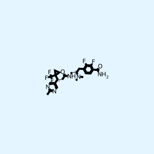 Cc1ncc([C@@H](CC(=O)NC[C@H](Cc2ccc(C(N)=O)c(F)c2F)N(C)C)C2(C(F)(F)F)CC2)cn1